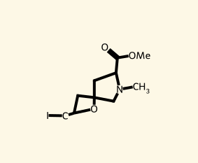 COC(=O)C1CC2(CC(CI)O2)CN1C